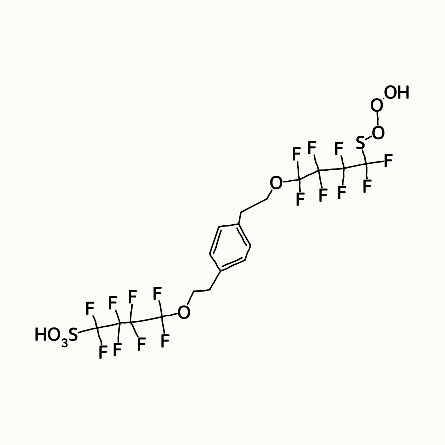 O=S(=O)(O)C(F)(F)C(F)(F)C(F)(F)C(F)(F)OCCc1ccc(CCOC(F)(F)C(F)(F)C(F)(F)C(F)(F)SOOO)cc1